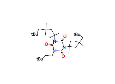 CC(C)(C)CCn1c(=O)n(C(C)(C)CC(C)(C)CC(C)(C)C)c(=O)n(C(C)(C)CC(C)(C)CC(C)(C)C)c1=O